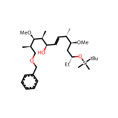 CC[C@H](C[C@H](OC)[C@@H](C)/C=C/[C@@H](O)[C@H](C)[C@H](OC)[C@H](C)COCc1ccccc1)O[Si](C)(C)C(C)(C)C